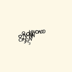 Cc1c(NC(=O)c2cccc(C(F)(F)F)c2)cccc1[N+]12C=CN=CC1=NC(Nc1ccc(N3CCOCC3)cc1)=N2